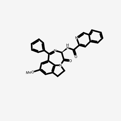 COc1cc2c3c(c1)C(c1ccccc1)=N[C@@H](NC(=O)c1cc4ccccc4cn1)C(=O)N3CC2